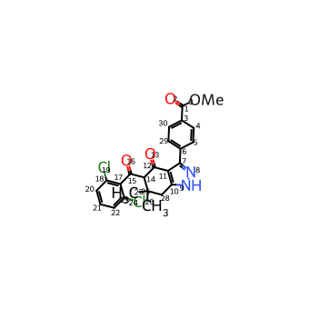 COC(=O)c1ccc(-c2n[nH]c3c2C(=O)C(C(=O)c2c(Cl)cccc2Cl)C(C)(C)C3)cc1